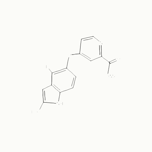 COC(=O)c1cc(Oc2ccc3[nH]c(C)cc3c2F)ccn1